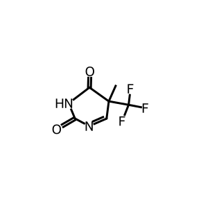 CC1(C(F)(F)F)C=NC(=O)NC1=O